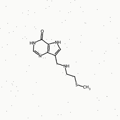 CSCCNCc1c[nH]c2c(=O)[nH]cnc12